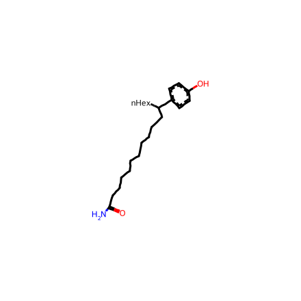 CCCCCCC(CCCCCCCCCCC(N)=O)c1ccc(O)cc1